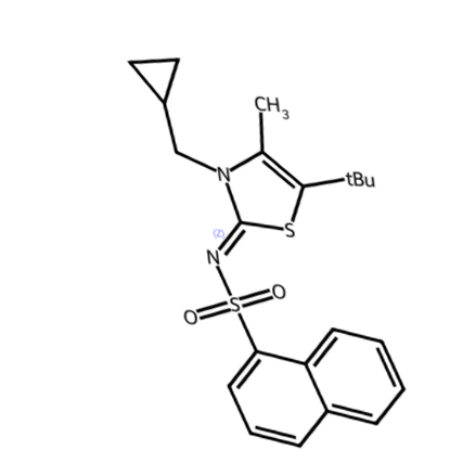 Cc1c(C(C)(C)C)s/c(=N\S(=O)(=O)c2cccc3ccccc23)n1CC1CC1